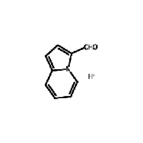 O=Cc1ccc2ccccn12.[H+]